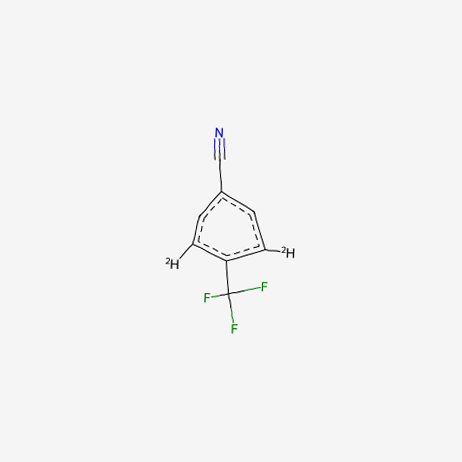 [2H]c1cc(C#N)cc([2H])c1C(F)(F)F